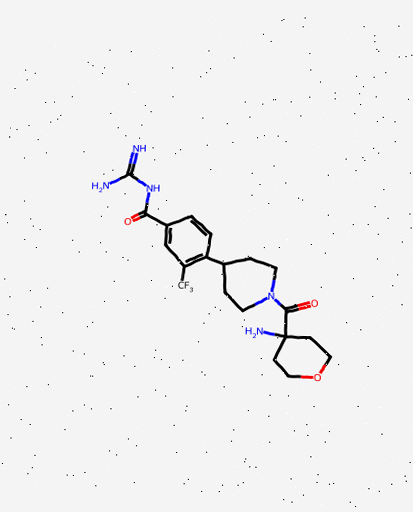 N=C(N)NC(=O)c1ccc(C2CCN(C(=O)C3(N)CCOCC3)CC2)c(C(F)(F)F)c1